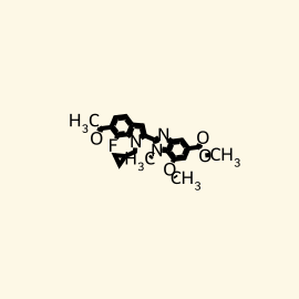 COC(=O)c1cc(OC)c2c(c1)nc(-c1cc3ccc(C(C)=O)c(F)c3n1CC1CC1)n2C